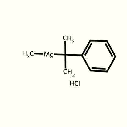 Cl.[CH3][Mg][C](C)(C)c1ccccc1